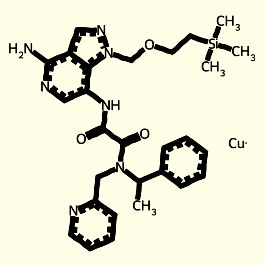 CC(c1ccccc1)N(Cc1ccccn1)C(=O)C(=O)Nc1cnc(N)c2cnn(COCC[Si](C)(C)C)c12.[Cu]